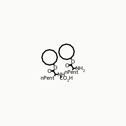 CCCCCC(N)C(=O)OC1CCCCCCCCCCC1.CCCCCC(NC(=O)O)C(=O)OC1CCCCCCCCCCC1